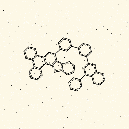 c1ccc(-c2nc(-c3cccc(-c4cccc(-c5cc6c7ccccc7c7ccccc7c6c6oc7ccccc7c56)c4)c3)nc3ccccc23)cc1